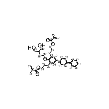 C=C(C)C(=O)OCCCc1cc(-c2ccc(-c3ccccc3)cc2)cc(CCCOC(=O)C(=C)C)c1OCCC(CO)CO